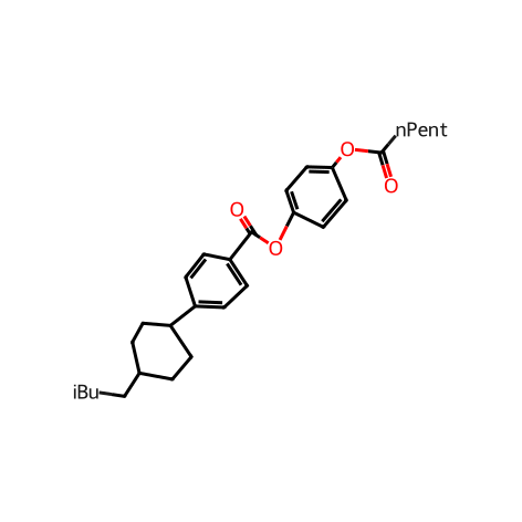 CCCCCC(=O)Oc1ccc(OC(=O)c2ccc(C3CCC(CC(C)CC)CC3)cc2)cc1